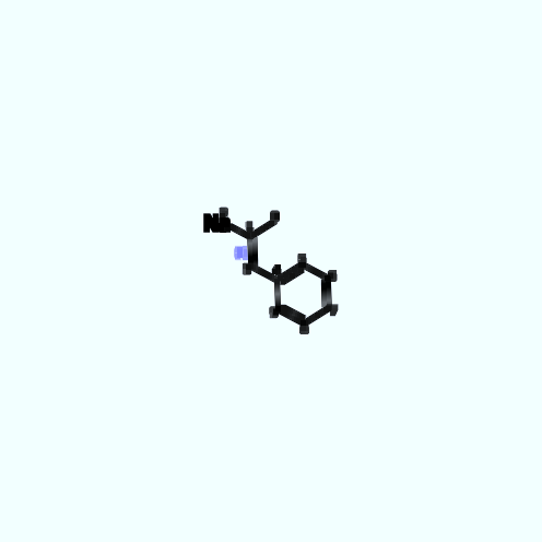 C/[C]([Na])=C\c1ccccc1